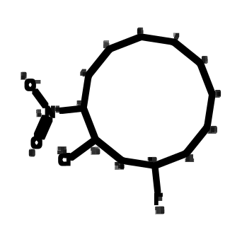 O=[N+]([O-])C1CCCCCCCCC(F)CC1Cl